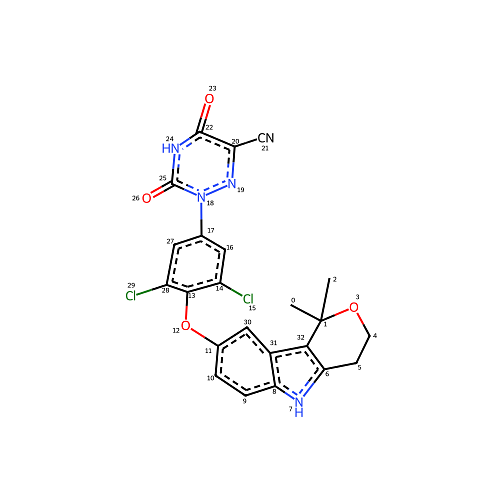 CC1(C)OCCc2[nH]c3ccc(Oc4c(Cl)cc(-n5nc(C#N)c(=O)[nH]c5=O)cc4Cl)cc3c21